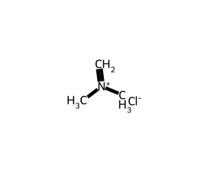 C=[N+](C)C.[Cl-]